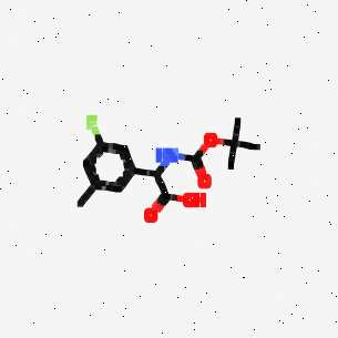 Cc1cc(F)cc(C(NC(=O)OC(C)(C)C)C(=O)O)c1